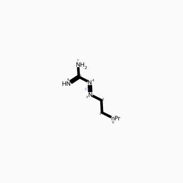 CCCCC/N=N/C(=N)N